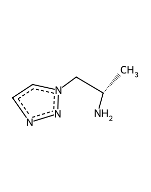 C[C@H](N)Cn1ccnn1